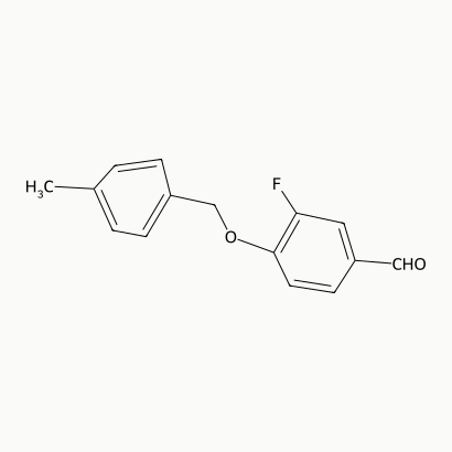 Cc1ccc(COc2ccc(C=O)cc2F)cc1